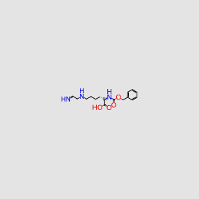 N=CCNCCCC[C@H](NC(=O)OCc1ccccc1)C(=O)O